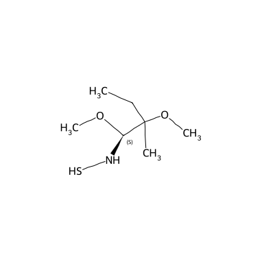 CCC(C)(OC)[C@@H](NS)OC